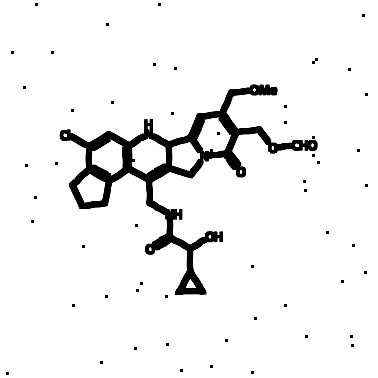 COCc1cc2n(c(=O)c1COC=O)CC1=C(CNC(=O)C(O)C3CC3)c3c(cc(Cl)c4c3CCC4)NC12